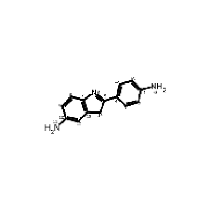 Nc1ccc(C2=Nc3ccc(N)cc3C2)cc1